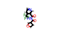 O=C(NC(=O)C1CCOC1)c1cnccc1C(F)(F)F